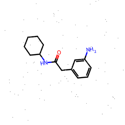 Nc1cccc(CC(=O)NC2CCCCC2)c1